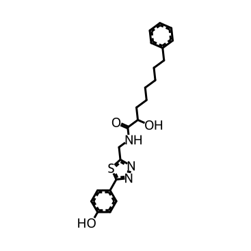 O=C(NCc1nnc(-c2ccc(O)cc2)s1)C(O)CCCCCCc1ccccc1